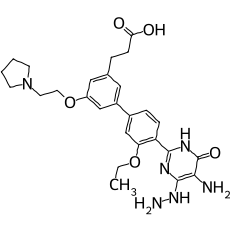 CCOc1cc(-c2cc(CCC(=O)O)cc(OCCN3CCCC3)c2)ccc1-c1nc(NN)c(N)c(=O)[nH]1